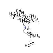 C[C@@H](CCCC(=O)O)[C@H]1CC[C@H]2/C(=C/C=C3C[C@@H](O[Si](C)(C)C(C)(C)C)C[C@H](O[Si](C)(C)C(C)(C)C)C3)CCC[C@]12C